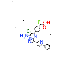 Nc1c(Cl)c(C2CCC([C@H](F)C(=O)O)CC2)nc2c(-c3ccc(-c4ccccc4)nc3)cnn12